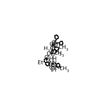 CC[C@@H](CC(=O)OCOC(=O)CC(C)(C)c1c(C)cc(C)cc1OP(=O)(OCc1ccccc1)OCc1ccccc1)c1ccc(N(CC(C)C)CC(C)C)c(NC(=O)Nc2ccc(C)cc2)c1